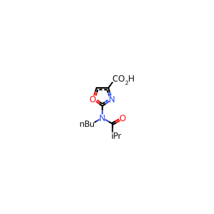 CCCCN(C(=O)C(C)C)c1nc(C(=O)O)co1